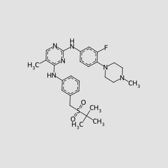 Cc1cnc(Nc2ccc(N3CCN(C)CC3)c(F)c2)nc1Nc1cccc(CS(=O)(=O)C(C)(C)C)c1